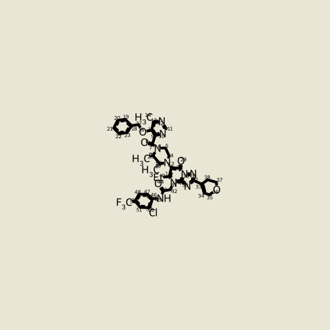 CCc1c(N2CCN(C(=O)c3ncnc(C)c3OCc3ccccc3)[C@H](C)[C@@H]2C)c(=O)n2nc(C3=CCOCC3)nc2n1CC(=O)Nc1ccc(C(F)(F)F)cc1Cl